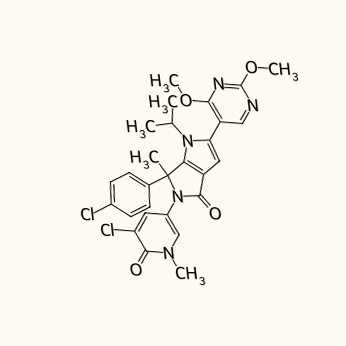 COc1ncc(-c2cc3c(n2C(C)C)C(C)(c2ccc(Cl)cc2)N(c2cc(Cl)c(=O)n(C)c2)C3=O)c(OC)n1